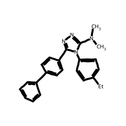 CCc1ccc(-n2c(-c3ccc(-c4ccccc4)cc3)nnc2N(C)C)cc1